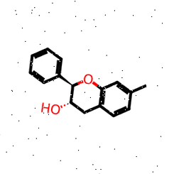 Cc1ccc2c(c1)O[C@H](c1ccccc1)[C@@H](O)C2